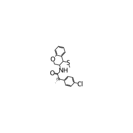 CSC1c2ccccc2OCC1NC(=O)[C@@H](C)c1ccc(Cl)cc1